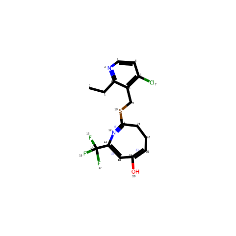 CCc1nccc(Cl)c1CS/C1=N/C(C(F)(F)F)=C\C(O)=C/CC1